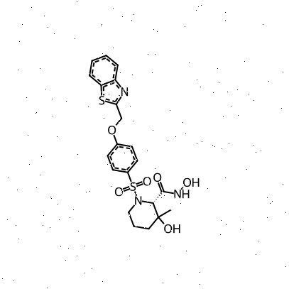 CC1(O)CCCN(S(=O)(=O)c2ccc(OCc3nc4ccccc4s3)cc2)[C@@H]1C(=O)NO